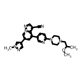 COC(C)CN1CCN(c2ccc(-c3cc(-c4cnn(C)c4)cn4ncc(C#N)c34)cn2)CC1